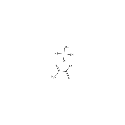 CCC(=S)C(C)=S.CCCCC(S)(S)CC